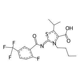 CCCCn1c(C(=O)O)c(C(C)C)sc1=NC(=O)c1cc(C(F)(F)F)ccc1F